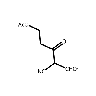 CC(=O)OCCC(=O)C([C]=O)C#N